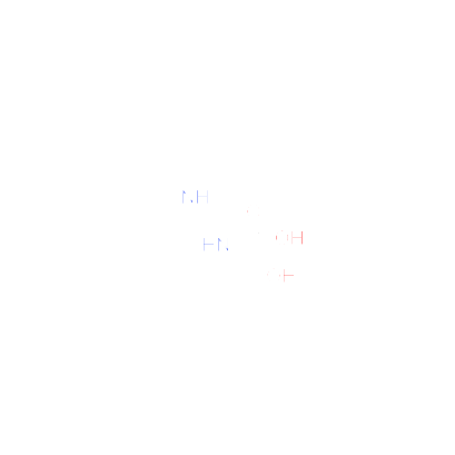 CC(C)NCCN[C@@H](CO)C(=O)O